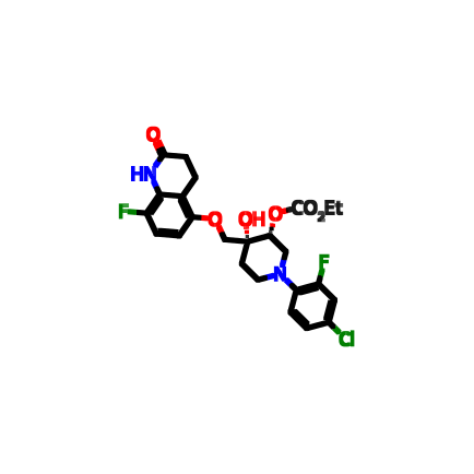 CCOC(=O)O[C@@H]1CN(c2ccc(Cl)cc2F)CC[C@@]1(O)COc1ccc(F)c2c1CCC(=O)N2